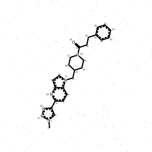 Cn1cc(-c2ccc3c(ccn3CC3CCN(C(=O)CCc4ccccc4)CC3)n2)nn1